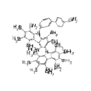 Bc1ccc(-c2cccc(-n3c4c(B)c(B)c(B)c(B)c4c4c(B)c(-n5c6c(B)c(B)c(B)c(B)c6c6c(B)c(B)c(B)c(B)c65)c(B)c(B)c43)c2)cc1